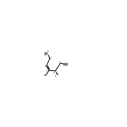 C/C(=C/CBr)[C@H](C)CBr